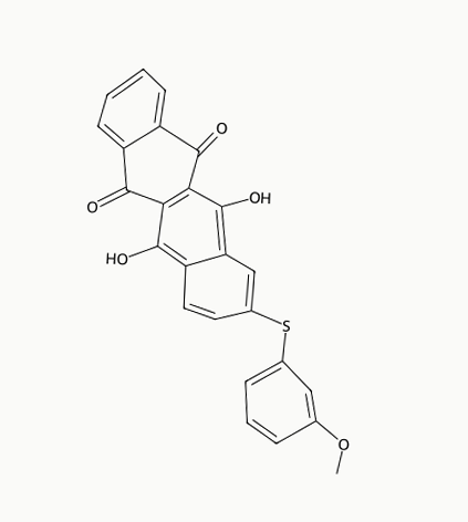 COc1cccc(Sc2ccc3c(O)c4c(c(O)c3c2)C(=O)c2ccccc2C4=O)c1